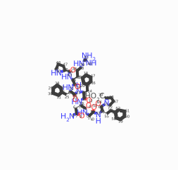 C[C@H](NC(=O)[C@H](CC(N)=O)NC(=O)[C@H](Cc1ccccc1)NC(=O)[C@H](Cc1ccccc1)NC(=O)[C@H](CCCNC(=N)N)NC(=O)[C@@H]1CCCN1)C(=O)N[C@@H](CCc1ccccc1)C(=O)N1CCC[C@@H]1C(=O)O